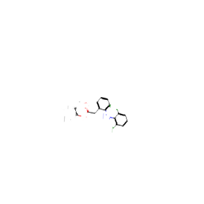 CC[C@H](C(C)=O)[C@@H](C)OC(=O)Cc1ccccc1Nc1c(Cl)cccc1Cl